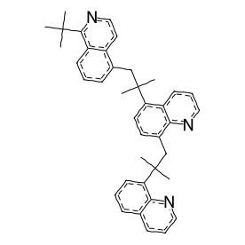 CC(C)(C)c1nccc2c(CC(C)(C)c3ccc(CC(C)(C)c4cccc5cccnc45)c4ncccc34)cccc12